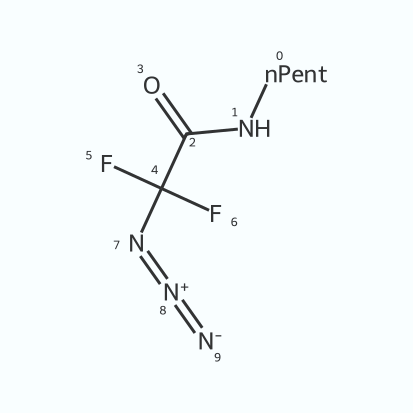 CCCCCNC(=O)C(F)(F)N=[N+]=[N-]